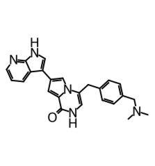 CN(C)Cc1ccc(Cc2c[nH]c(=O)c3cc(-c4c[nH]c5ncccc45)cn23)cc1